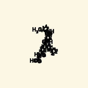 CCc1cccc(NS(=O)(=O)c2ccc(NC(=O)N(Cc3ccc(C(=O)NCCC(=O)O)cc3)c3ccc(C4=CCCCC4)cc3)cc2)c1